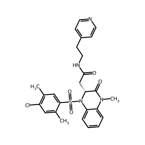 Cc1cc(S(=O)(=O)N2c3ccccc3N(C)C(=O)[C@H]2CC(=O)NCCc2ccncc2)c(C)cc1Cl